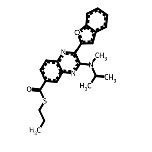 CCCSC(=O)c1ccc2nc(-c3cc4ccccc4o3)c(N(C)C(C)C)nc2c1